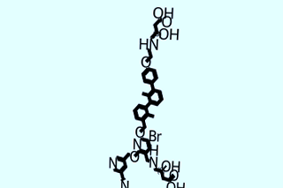 Cc1c(COc2nc(OCc3cncc(C#N)c3)c(CNC[C@@H](O)CC(=O)O)cc2Br)cccc1-c1cccc(-c2ccc(OCCNC[C@@H](O)CC(=O)O)cc2)c1C